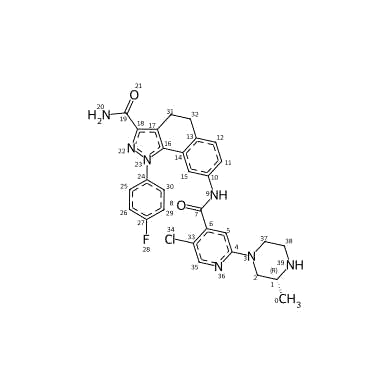 C[C@@H]1CN(c2cc(C(=O)Nc3ccc4c(c3)-c3c(c(C(N)=O)nn3-c3ccc(F)cc3)CC4)c(Cl)cn2)CCN1